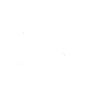 CC(N)c1cccc(C(C)(F)F)c1F.Cl